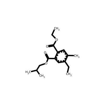 CCOC(=O)c1cc(C)c(CC)cc1C(=O)OCC(C)C